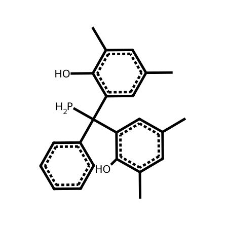 Cc1cc(C)c(O)c(C(P)(c2ccccc2)c2cc(C)cc(C)c2O)c1